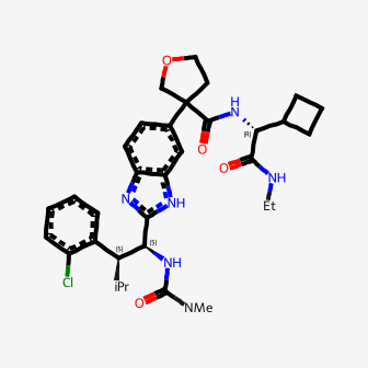 CCNC(=O)[C@H](NC(=O)C1(c2ccc3nc([C@@H](NC(=O)NC)[C@H](c4ccccc4Cl)C(C)C)[nH]c3c2)CCOC1)C1CCC1